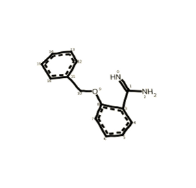 N=C(N)c1ccccc1OCc1ccccc1